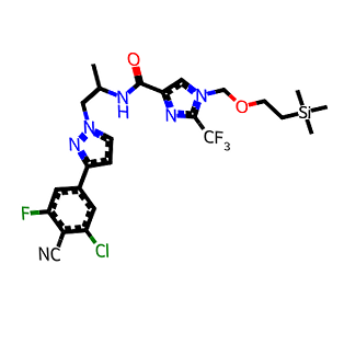 CC(Cn1ccc(-c2cc(F)c(C#N)c(Cl)c2)n1)NC(=O)c1cn(COCC[Si](C)(C)C)c(C(F)(F)F)n1